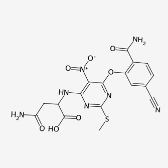 CSc1nc(NC(CC(N)=O)C(=O)O)c([N+](=O)[O-])c(Oc2cc(C#N)ccc2C(N)=O)n1